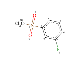 O=S(=O)(c1cccc(F)c1)C(Cl)(Cl)Cl